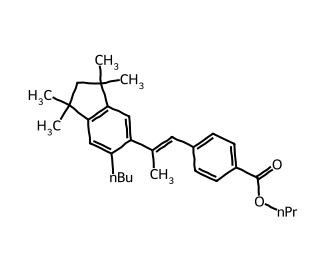 CCCCc1cc2c(cc1/C(C)=C/c1ccc(C(=O)OCCC)cc1)C(C)(C)CC2(C)C